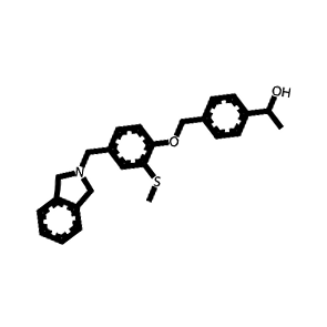 CSc1cc(CN2Cc3ccccc3C2)ccc1OCc1ccc(C(C)O)cc1